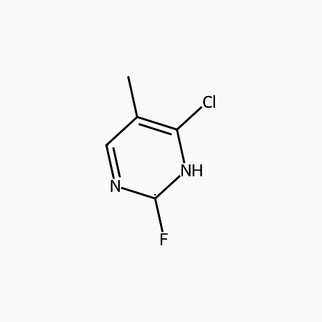 CC1=C(Cl)N[C](F)N=C1